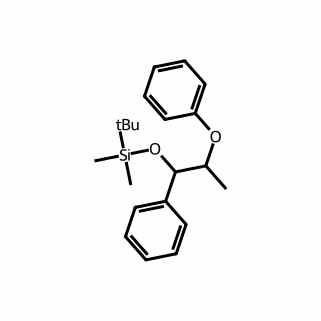 CC(Oc1ccccc1)C(O[Si](C)(C)C(C)(C)C)c1ccccc1